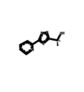 C[C@@H](O)c1nnc(-c2ccccn2)s1